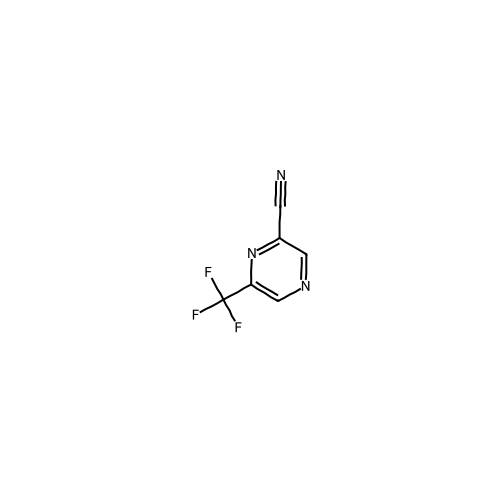 N#Cc1cncc(C(F)(F)F)n1